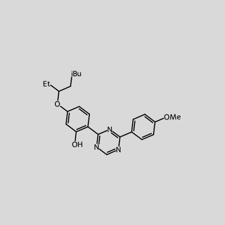 CCC(C)CC(CC)Oc1ccc(-c2ncnc(-c3ccc(OC)cc3)n2)c(O)c1